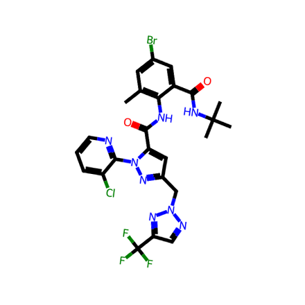 Cc1cc(Br)cc(C(=O)NC(C)(C)C)c1NC(=O)c1cc(Cn2ncc(C(F)(F)F)n2)nn1-c1ncccc1Cl